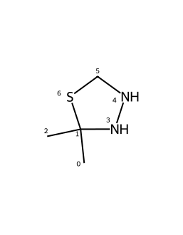 CC1(C)NNCS1